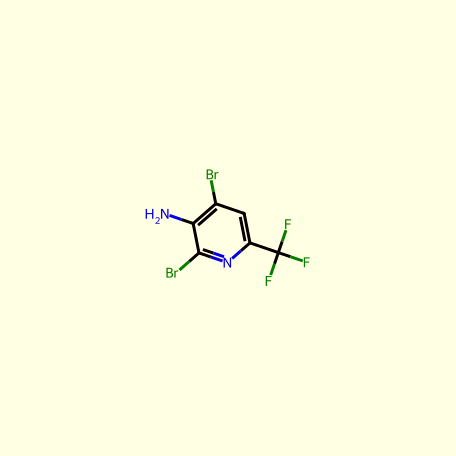 Nc1c(Br)cc(C(F)(F)F)nc1Br